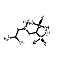 CC(C)CN(C)CC(P(=O)(O)O)P(=O)(O)O